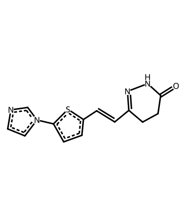 O=C1CCC(C=Cc2ccc(-n3ccnc3)s2)=NN1